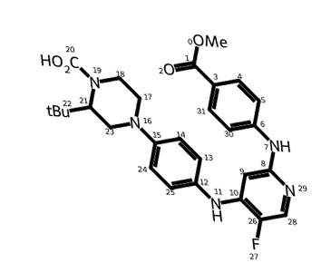 COC(=O)c1ccc(Nc2cc(Nc3ccc(N4CCN(C(=O)O)C(C(C)(C)C)C4)cc3)c(F)cn2)cc1